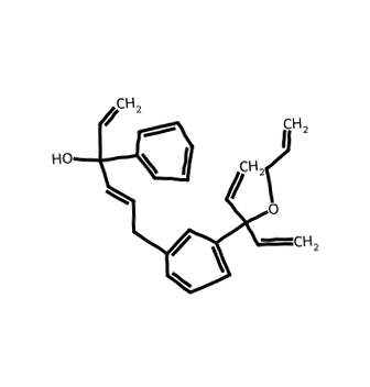 C=CCOC(C=C)(C=C)c1cccc(C/C=C/C(O)(C=C)c2ccccc2)c1